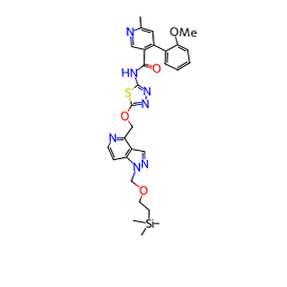 COc1ccccc1-c1cc(C)ncc1C(=O)Nc1nnc(OCc2nccc3c2cnn3COCC[Si](C)(C)C)s1